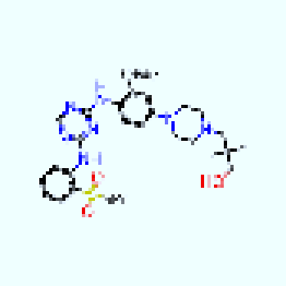 COc1cc(N2CCN(CC(C)(C)CO)CC2)ccc1Nc1ncnc(Nc2ccccc2S(=O)(=O)C(C)C)n1